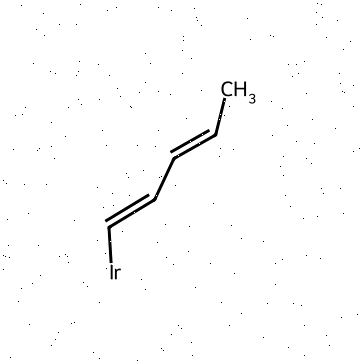 CC=CC=[CH][Ir]